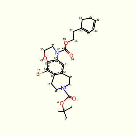 CC(C)(C)OC(=O)N1CCc2cc3c(c(Br)c2CC1)OCCN3C(=O)OCCC1=CC=CCC1